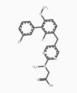 COc1ccc(Cc2cnc(N(C)CC(=O)O)nc2)c(F)c1-c1cccc(Cl)c1